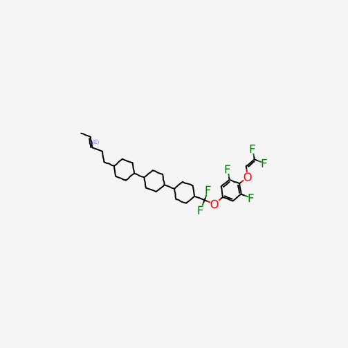 C/C=C/CCC1CCC(C2CCC(C3CCC(C(F)(F)Oc4cc(F)c(OC=C(F)F)c(F)c4)CC3)CC2)CC1